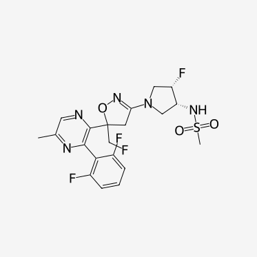 Cc1cnc(C2(CF)CC(N3C[C@H](F)[C@H](NS(C)(=O)=O)C3)=NO2)c(-c2c(F)cccc2F)n1